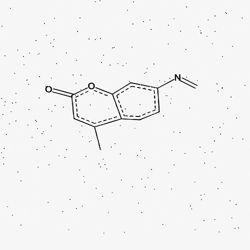 C=Nc1ccc2c(C)cc(=O)oc2c1